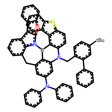 CC(C)(C)c1ccc(CN2c3cc(N(c4ccccc4)c4ccccc4)cc4c3B(c3c2ccc2sc5ccccc5c32)n2c3oc5ccccc5c3c3cccc(c32)C4)c(-c2ccccc2)c1